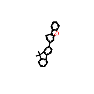 CC1(C)c2ccccc2-c2ccc(-c3ccc4c(c3)oc3ccccc34)cc21